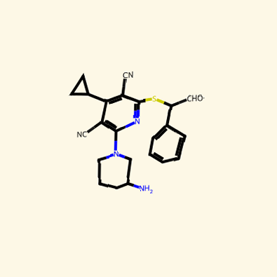 N#Cc1c(SC([C]=O)c2ccccc2)nc(N2CCCC(N)C2)c(C#N)c1C1CC1